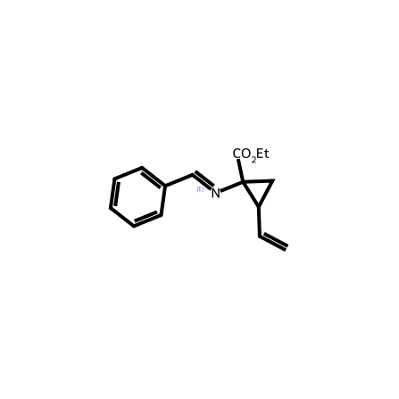 C=CC1CC1(/N=C/c1ccccc1)C(=O)OCC